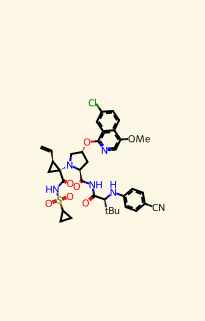 C=C[C@@H]1C[C@@]1(C(=O)NS(=O)(=O)C1CC1)N1C[C@H](Oc2ncc(OC)c3ccc(Cl)cc23)C[C@H]1C(=O)NC(=O)[C@@H](Nc1ccc(C#N)cc1)C(C)(C)C